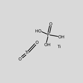 O=P(O)(O)O.[O]=[Ti]=[O].[Ti]